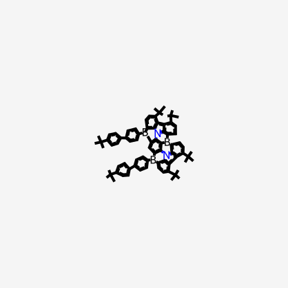 CC(C)(C)c1ccc(-c2ccc(B3c4cc5c6c7c4-n4c8c3ccc(C(C)(C)C)c8c3c(C(C)(C)C)ccc(c34)B7c3ccc(C(C)(C)C)c4c7c(C(C)(C)C)ccc(c7n-6c34)B5c3ccc(-c4ccc(C(C)(C)C)cc4)cc3)cc2)cc1